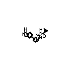 O=C(Nc1nc2c(-c3ccc4[nH]ncc4c3)cccn2n1)C1CC1